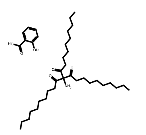 CCCCCCCCCC(=O)C(N)(C(=O)CCCCCCCCC)C(=O)CCCCCCCCC.O=C(O)c1ccccc1O